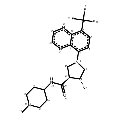 C[C@H]1CN(c2ccc(C(F)(F)F)c3nccnc23)C[C@@H]1C(=O)NC1CCN(C)CC1